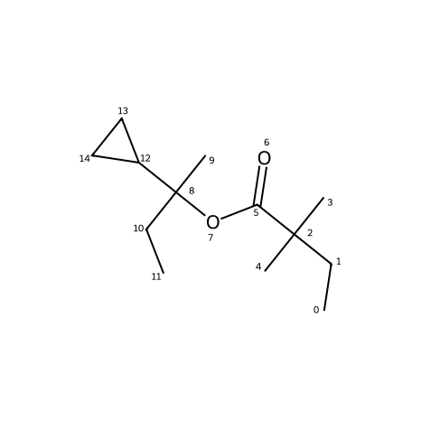 CCC(C)(C)C(=O)OC(C)(CC)C1CC1